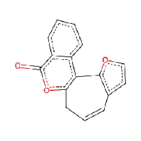 O=c1oc2c(c3ccccc13)-c1occc1C=CC2